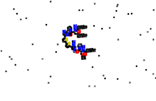 CCOC[C@H](NC(=O)OC)C(=O)N1CCC[C@H]1c1ncc(-c2ccc(-c3ccc(-c4cnc(C5CCCN5C(=O)[C@H](CCOC)NC(=O)OC)[nH]4)s3)s2)[nH]1